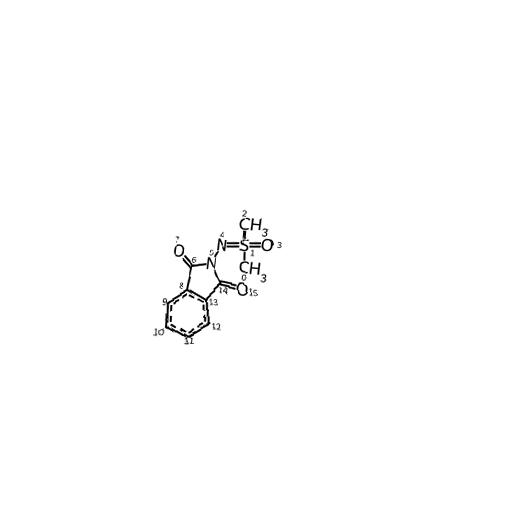 CS(C)(=O)=NN1C(=O)c2ccccc2C1=O